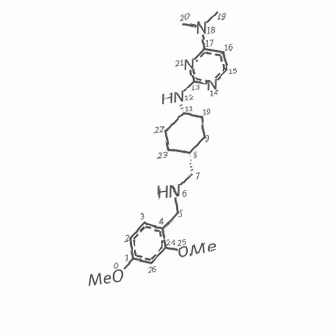 COc1ccc(CNC[C@H]2CC[C@@H](Nc3nccc(N(C)C)n3)CC2)c(OC)c1